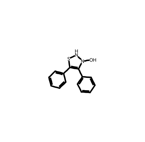 ON1NSC(c2ccccc2)=C1c1ccccc1